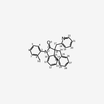 O=C1N(c2ccccc2I)c2ccccc2C1(Cc1ccccn1)Cc1ccccn1